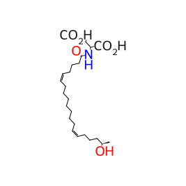 C[C@@H](O)CCC/C=C\CCCCCCC/C=C\CCCC(=O)NC(CC(=O)O)C(=O)O